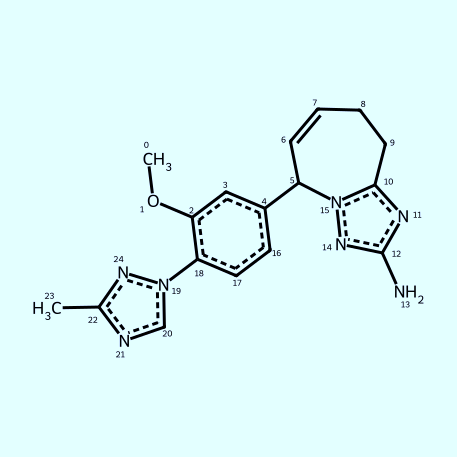 COc1cc(C2C=CCCc3nc(N)nn32)ccc1-n1cnc(C)n1